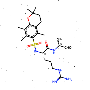 CCCC[C@@H](C=O)NC(=O)[C@H](CCCNC(=N)N)NS(=O)(=O)c1c(C)c(C)c2c(c1C)CCC(C)(C)O2